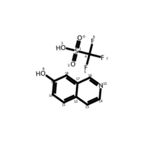 O=S(=O)(O)C(F)(F)F.Oc1ccc2ccncc2c1